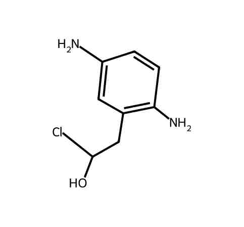 Nc1ccc(N)c(CC(O)Cl)c1